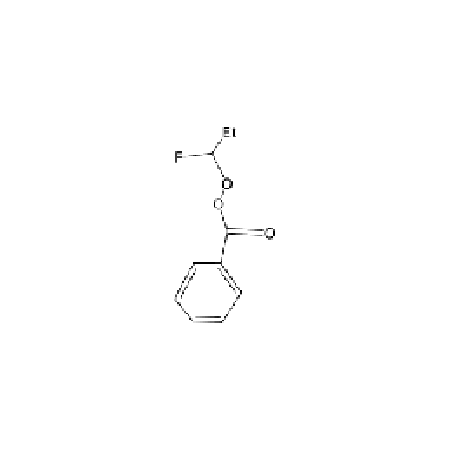 CCC(F)OOC(=O)c1ccccc1